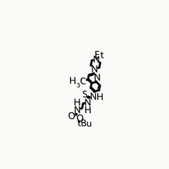 CCN1CCN(c2cc(C)c3cc(NC(=S)NCCNC(=O)OC(C)(C)C)ccc3n2)CC1